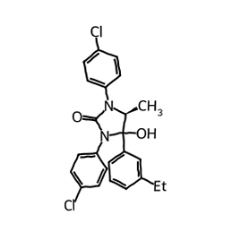 CCc1cccc(C2(O)[C@H](C)N(c3ccc(Cl)cc3)C(=O)N2c2ccc(Cl)cc2)c1